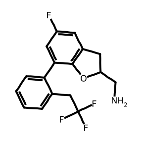 NCC1Cc2cc(F)cc(-c3ccccc3CC(F)(F)F)c2O1